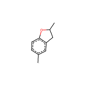 [CH2]c1ccc2c(c1)CC(C)O2